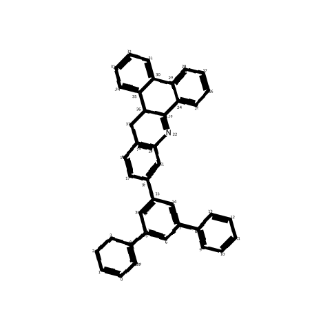 C1=CCCC(c2cc(-c3ccccc3)cc(-c3ccc4c(c3)N=C3c5ccccc5-c5ccccc5C3C4)c2)=C1